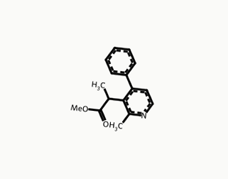 COC(=O)C(C)c1c(-c2ccccc2)ccnc1C